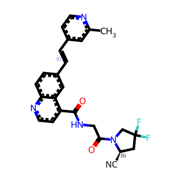 Cc1cc(/C=C/c2ccc3nccc(C(=O)NCC(=O)N4CC(F)(F)C[C@H]4C#N)c3c2)ccn1